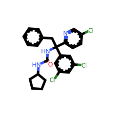 O=C(NC1CCCC1)NC(Cc1ccccc1)(c1cc(Cl)cc(Cl)c1)c1ccc(Cl)cn1